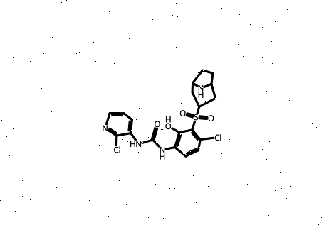 O=C(Nc1cccnc1Cl)Nc1ccc(Cl)c(S(=O)(=O)C2CC3CCC(C2)N3)c1O